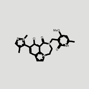 COc1cc(C)[nH]c(=O)c1CN1CCn2ccc3c2C(C)(C1=O)C(Cl)C(c1c(C)cnn1C)=C3